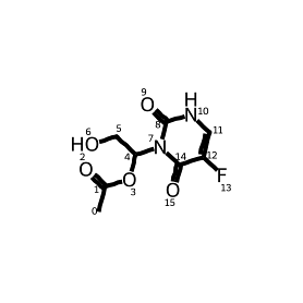 CC(=O)OC(CO)n1c(=O)[nH]cc(F)c1=O